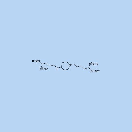 CCCCCCC(CCCCCC)CCCOC1CCN(CCCCC(CCCCC)CCCCC)CC1